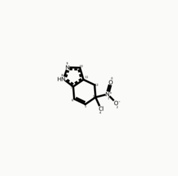 O=[N+]([O-])C1(Cl)C=Cc2[nH]ncc2C1